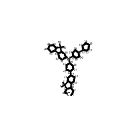 CC1(C)c2ccccc2-c2ccc(-c3ccc(N(c4ccc(-c5ccccc5)cc4)c4ccc5c(c4)C(C)(C)c4ccccc4-5)cc3)cc21